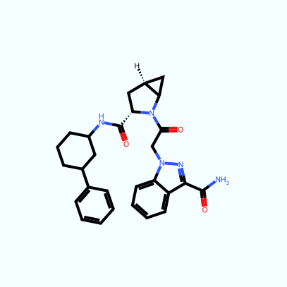 NC(=O)c1nn(CC(=O)N2C3C[C@@H]3C[C@H]2C(=O)NC2CCCC(c3ccccc3)C2)c2ccccc12